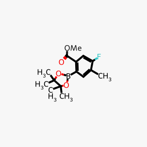 COC(=O)c1cc(F)c(C)cc1B1OC(C)(C)C(C)(C)O1